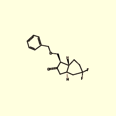 O=C1C[C@@H]2CC(F)(F)CC[C@H]2[C@@H]1COCc1ccccc1